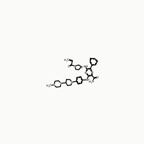 C=CC(=O)N1CC[C@@H](Nc2nc(Nc3ccc(N4CCC(N5CCN(C)CC5)CC4)cc3)c(C(N)=O)nc2-c2ccccc2)C1